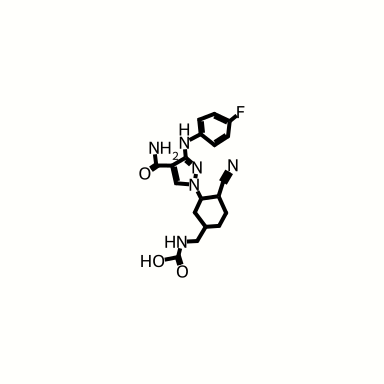 N#CC1CCC(CNC(=O)O)CC1n1cc(C(N)=O)c(Nc2ccc(F)cc2)n1